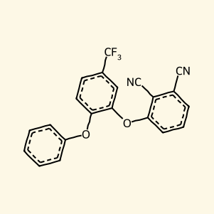 N#Cc1cccc(Oc2cc(C(F)(F)F)ccc2Oc2ccccc2)c1C#N